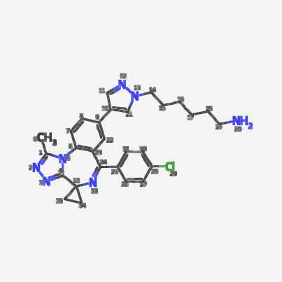 Cc1nnc2n1-c1ccc(-c3cnn(CCCCCCN)c3)cc1C(c1ccc(Cl)cc1)=NC21CC1